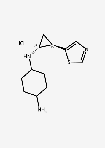 Cl.NC1CCC(N[C@@H]2C[C@H]2c2cncs2)CC1